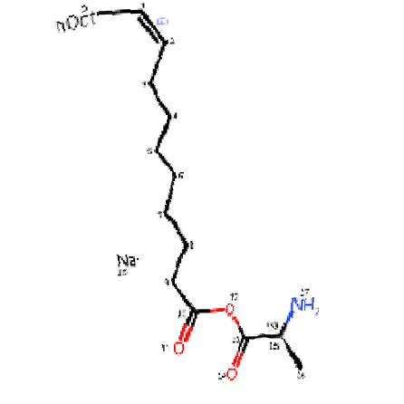 CCCCCCCC/C=C\CCCCCCCC(=O)OC(=O)[C@H](C)N.[Na]